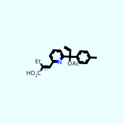 C=CC(OC(C)=O)(c1ccc(C)cc1)c1cccc(/C=C(\CC)C(=O)O)n1